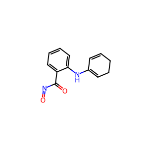 O=NC(=O)c1ccccc1NC1=CCCC=C1